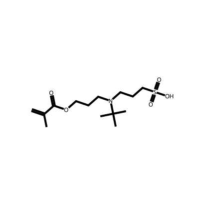 C=C(C)C(=O)OCCCN(CCCS(=O)(=O)O)C(C)(C)C